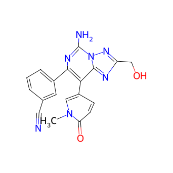 Cn1cc(-c2c(-c3cccc(C#N)c3)nc(N)n3nc(CO)nc23)ccc1=O